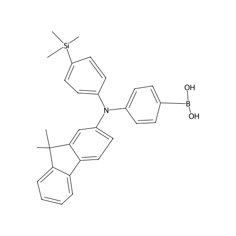 CC1(C)c2ccccc2-c2ccc(N(c3ccc(B(O)O)cc3)c3ccc([Si](C)(C)C)cc3)cc21